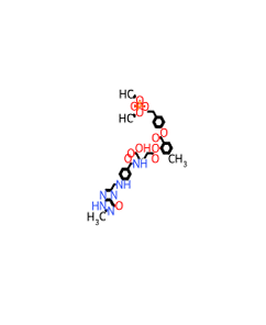 C#COP(=O)(OC#C)OCCc1ccc(OC(=O)c2ccc(C)cc2OC(=O)CC[C@H](NC(=O)c2ccc(NCc3cnc4[nH]c(C)nc(=O)c4n3)cc2)C(=O)O)cc1